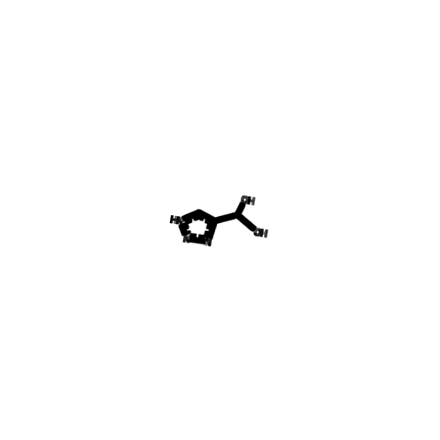 OC(O)c1c[nH]nn1